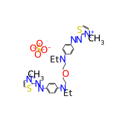 CCN(CCOCCN(CC)c1ccc(N=Nc2scc[n+]2C)cc1)c1ccc(N=Nc2scc[n+]2C)cc1.O=S(=O)([O-])[O-]